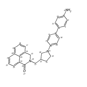 Nc1ccc(-c2ccc(N3CCC(CN4Cc5cccc6cccc(c56)C4=O)C3)cc2)cc1